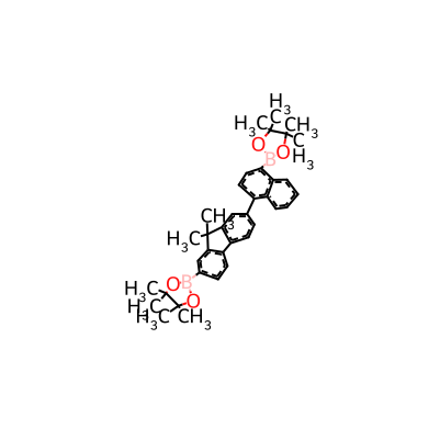 CC1(C)c2cc(B3OC(C)(C)C(C)(C)O3)ccc2-c2ccc(-c3ccc(B4OC(C)(C)C(C)(C)O4)c4ccccc34)cc21